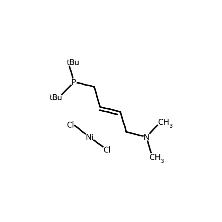 CN(C)CC=CCP(C(C)(C)C)C(C)(C)C.[Cl][Ni][Cl]